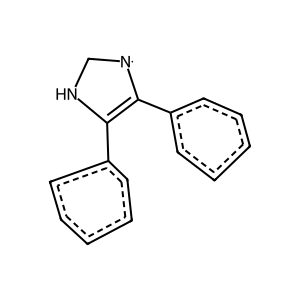 c1ccc(C2=C(c3ccccc3)NC[N]2)cc1